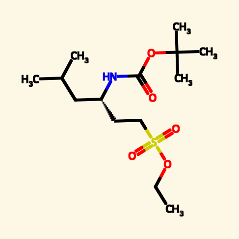 CCOS(=O)(=O)CC[C@H](CC(C)C)NC(=O)OC(C)(C)C